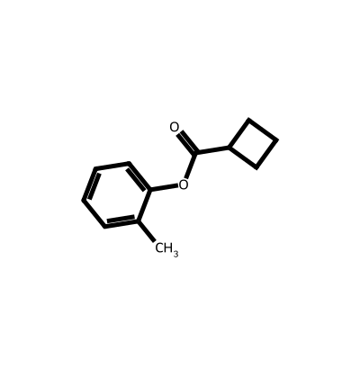 Cc1ccccc1OC(=O)C1CCC1